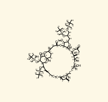 C=C1C[C@@H]2CCC/C=C/C(O[Si](C)(C)C(C)(C)C)C3O[C@H]4CC[C@H](CC(=O)CC5[C@@H](OC)C(CC(CO[Si](C)(C)C(C)(C)C)O[Si](C)(C)C(C)(C)C)O[C@H]5C[C@@H](OC(C)=O)C(=C)[C@H](C)C[C@H](O)CC[C@@H]1O2)OC4[C@H](O)C3O[Si](C)(C)C(C)(C)C